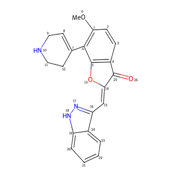 COc1ccc2c(c1C1=CCNCC1)OC(=Cc1n[nH]c3ccccc13)C2=O